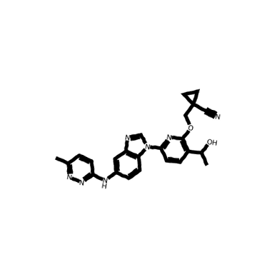 Cc1ccc(Nc2ccc3c(c2)ncn3-c2ccc(C(C)O)c(OCC3(C#N)CC3)n2)nn1